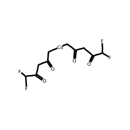 O=C([CH2][Co][CH2]C(=O)CC(=O)C(F)F)CC(=O)C(F)F